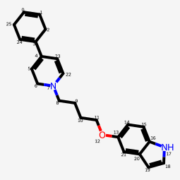 C1=CCC(C2=CCN(CCCCOc3ccc4[nH]ccc4c3)C=C2)=CC1